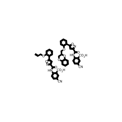 C=CCOc1ccccc1-c1cc(C(=O)Nc2ccc(C#N)cc2C(=O)O)no1.N#Cc1ccc(NC(=O)c2cc(-c3ccccc3OCC3COc4ccccc4O3)on2)c(C(=O)O)c1